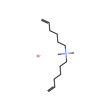 C=CCCCC[N+](C)(C)CCCCC=C.[Br-]